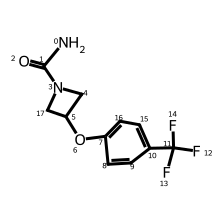 NC(=O)N1CC(Oc2ccc(C(F)(F)F)cc2)C1